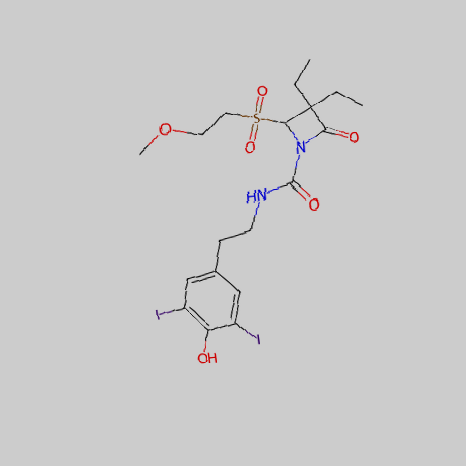 CCC1(CC)C(=O)N(C(=O)NCCc2cc(I)c(O)c(I)c2)C1S(=O)(=O)CCOC